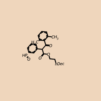 CCCCCCCCCCCCOC(=O)C(C(=O)c1c(C)cccc1C)c1ccccc1.O=P